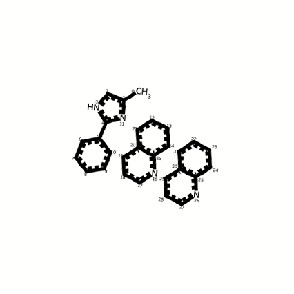 Cc1c[nH]c(-c2ccccc2)n1.c1ccc2ncccc2c1.c1ccc2ncccc2c1